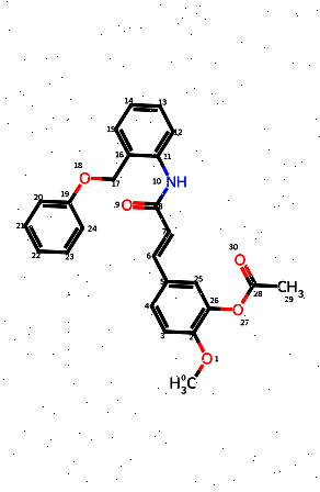 COc1ccc(/C=C/C(=O)Nc2ccccc2COc2ccccc2)cc1OC(C)=O